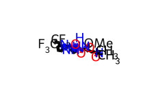 COC(=O)N[C@@H](CC/C=C/C(=O)N(C)C)C(=O)Nc1cccn(Cc2nc3c(CC(C(F)(F)F)C(F)(F)F)cccc3[nH]2)c1=O